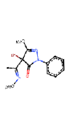 CON=C(C)C1(Br)C(=O)N(c2ccccc2)N=C1OC